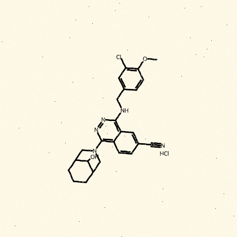 COc1ccc(CNc2nnc(N3CC4CCCC(C3)C4O)c3ccc(C#N)cc23)cc1Cl.Cl